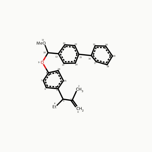 C=C(C)C(CC)c1ccc(OC(OC)c2ccc(-c3ccccc3)cc2)cc1